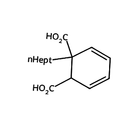 CCCCCCCC1(C(=O)O)C=CC=CC1C(=O)O